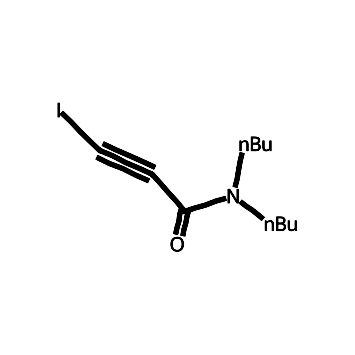 CCCCN(CCCC)C(=O)C#CI